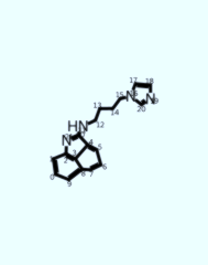 c1cc2c3c(cccc3c1)C(NCCCCn1ccnc1)=N2